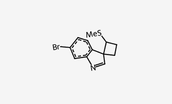 CSC1CCC12C=Nc1cc(Br)ccc12